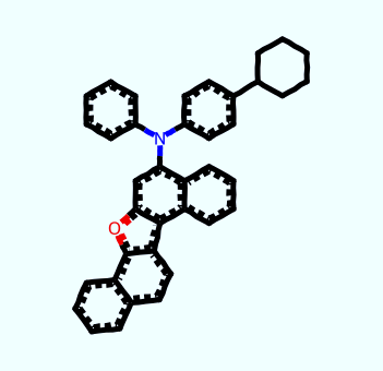 c1ccc(N(c2ccc(C3CCCCC3)cc2)c2cc3oc4c5ccccc5ccc4c3c3ccccc23)cc1